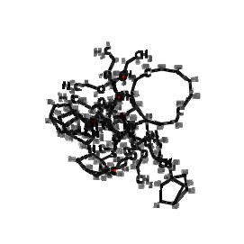 CCO[Si](OCC)(OCC)[SH](SSSC12CCC(CC1)C2)C1=C([SH](SSSC23CCC(CC2)C3)[Si](OCC)(OCC)OCC)C([SH](SSSC23CCC(CC2)C3)[Si](OCC)(OCC)OCC)([SH](SSSC23CCC(CC2)C3)[Si](OCC)(OCC)OCC)CCCCCCCCC1